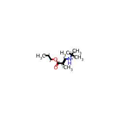 CCCOC(=O)C(C)=CNC(C)(C)C